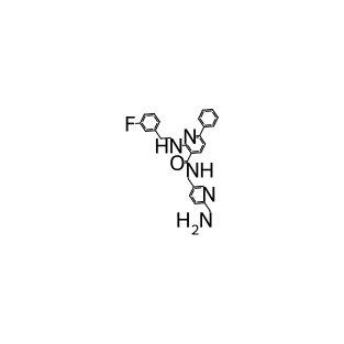 NCc1ccc(CNC(=O)c2ccc(-c3ccccc3)nc2NCCc2cccc(F)c2)cn1